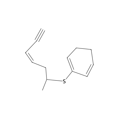 C#C/C=C\CC(C)SC1=CCCC=C1